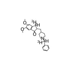 [2H]C1([2H])c2cc(OC)c(OC)cc2C(=O)C1CC1CCN(C([2H])([2H])c2ccccc2)CC1